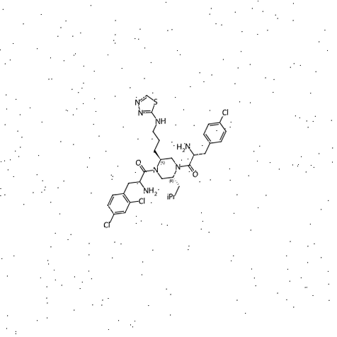 CC(C)C[C@@H]1CN(C(=O)C(N)Cc2ccc(Cl)cc2Cl)[C@@H](CCCNc2nncs2)CN1C(=O)C(N)Cc1ccc(Cl)cc1